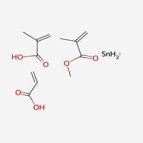 C=C(C)C(=O)O.C=C(C)C(=O)OC.C=CC(=O)O.[SnH2]